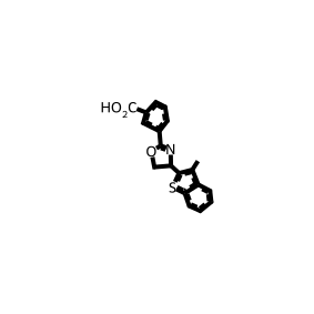 Cc1c(C2COC(c3cccc(C(=O)O)c3)=N2)sc2ccccc12